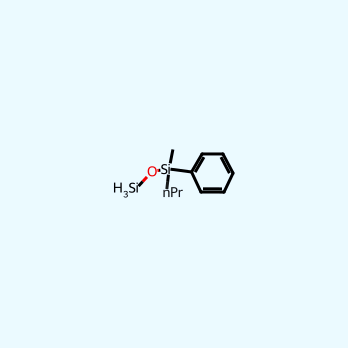 CCC[Si](C)(O[SiH3])c1ccccc1